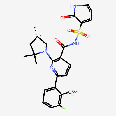 COc1c(F)cccc1-c1ccc(C(=O)NS(=O)(=O)c2ccc[nH]c2=O)c(N2C[C@@H](C)CC2(C)C)n1